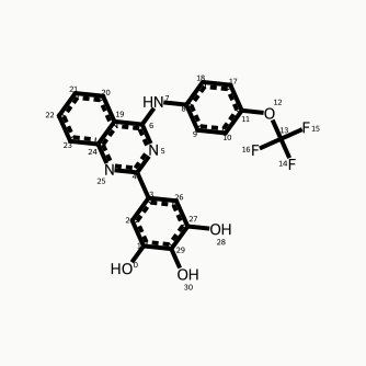 Oc1cc(-c2nc(Nc3ccc(OC(F)(F)F)cc3)c3ccccc3n2)cc(O)c1O